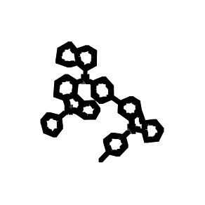 Cc1ccc(-n2c3ccccc3c3ccc(-c4ccc(N(c5cccc6ccccc56)c5cccc6c5c5ccccc5n6-c5ccccc5)cc4)cc32)cc1